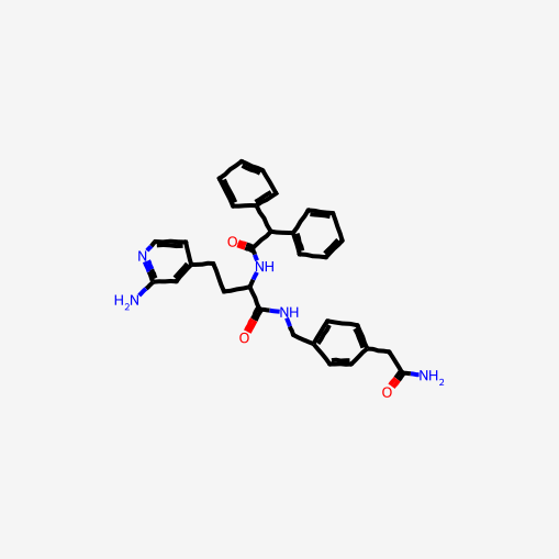 NC(=O)Cc1ccc(CNC(=O)C(CCc2ccnc(N)c2)NC(=O)C(c2ccccc2)c2ccccc2)cc1